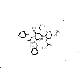 CNC(=O)[C@H](Cc1ccccc1)N(C(=O)OCc1ccccc1)C(=O)[C@H](CC(C)C)NC(=O)C(CC(=O)OC)SC(C)=O